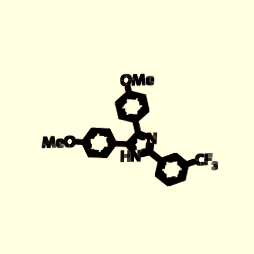 COc1ccc(-c2nc(-c3cccc(C(F)(F)F)c3)[nH]c2-c2ccc(OC)cc2)cc1